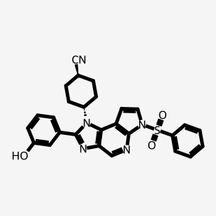 N#C[C@H]1CC[C@H](n2c(-c3cccc(O)c3)nc3cnc4c(ccn4S(=O)(=O)c4ccccc4)c32)CC1